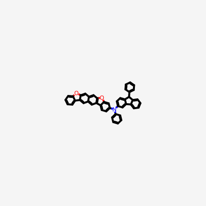 c1ccc(C2c3ccccc3-c3cc(N(c4ccccc4)c4ccc5c(c4)oc4cc6cc7oc8ccccc8c7cc6cc45)ccc32)cc1